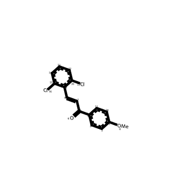 COc1ccc(C(=O)C=Cc2c(Cl)cccc2Cl)cc1